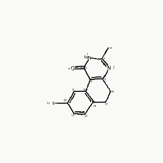 Cc1nc2c(c(=O)[nH]1)-c1cc(I)ccc1CC2